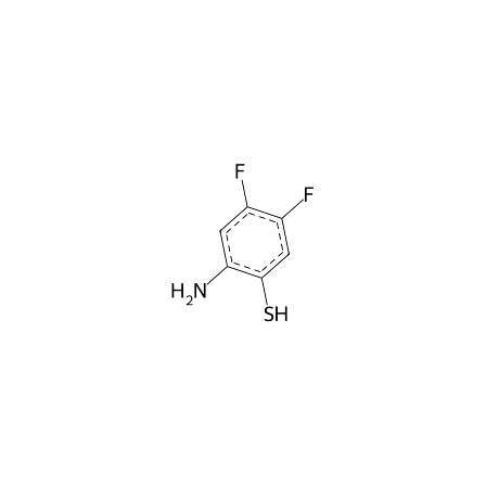 Nc1cc(F)c(F)cc1S